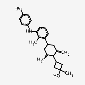 C=C1CC(c2cccc(Nc3ccc(C(C)(C)C)cc3)c2C)CC(=C)C1C1CC(C)(O)C1